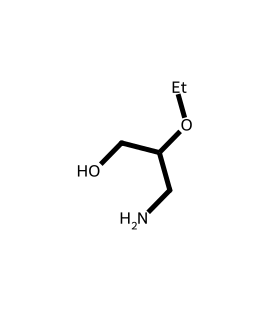 CCOC(CN)CO